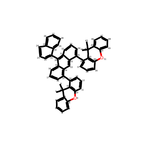 CC1(C)c2ccccc2Oc2cccc(-c3cccc4c(-c5cccc6ccccc56)c5cccc(-c6cccc7c6C(C)(C)c6ccccc6O7)c5cc34)c21